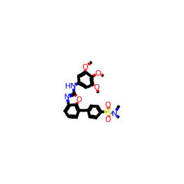 COc1cc(Nc2nc3cccc(-c4ccc(S(=O)(=O)N(C)C)cc4)c3o2)cc(OC)c1OC